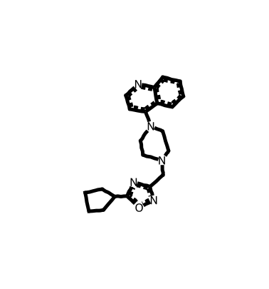 c1ccc2c(N3CCN(Cc4noc(C5CCCC5)n4)CC3)ccnc2c1